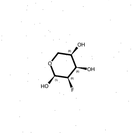 O[C@H]1[C@@H](F)[C@@H](O)OC[C@H]1O